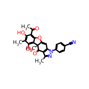 CC(=O)c1c(O)c(C)c(O)c2c1OC1=Cc3c(c(C)nn3-c3ccc(C#N)cc3)C(=O)[C@@]12C